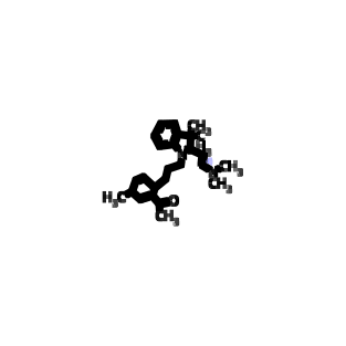 CC(=O)C1=CC(C)C=CC1CCC[N+]1=C(/C=C/N(C)C)C(C)(C)c2ccccc21